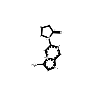 Cc1cnc2cnc(N3CCCC3=O)cn12